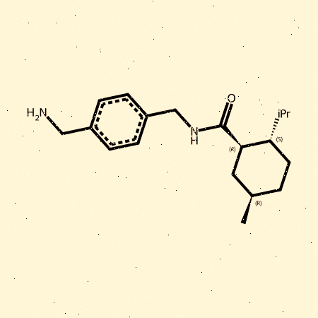 CC(C)[C@@H]1CC[C@@H](C)C[C@H]1C(=O)NCc1ccc(CN)cc1